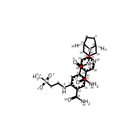 CS(=O)(=O)CCNc1cc(C(=O)N[C@H]2C[C@H]3CC[C@@H](C2)N3c2ccc(C(N)=O)cn2)ccc1C(N)=O